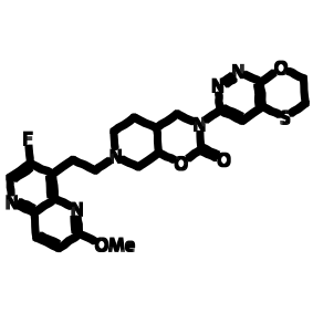 COc1ccc2ncc(F)c(CCN3CCC4CN(c5cc6c(nn5)OCCS6)C(=O)OC4C3)c2n1